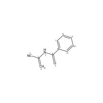 C=C(C#N)NC(=O)c1ccccc1